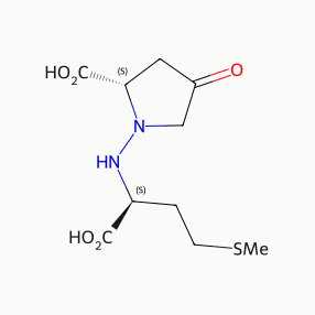 CSCC[C@H](NN1CC(=O)C[C@H]1C(=O)O)C(=O)O